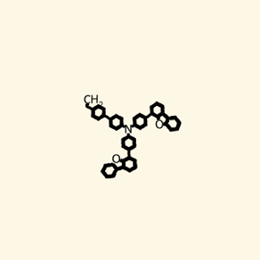 C=Cc1ccc(-c2ccc(N(c3ccc(-c4cccc5c4oc4ccccc45)cc3)c3ccc(-c4cccc5c4oc4ccccc45)cc3)cc2)cc1